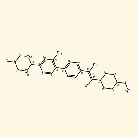 CC1COC(c2ccc(-c3ccc(/C(F)=C(\F)C4CCC(CF)CC4)cc3)c(F)c2)OC1